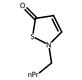 CCCCn1ccc(=O)s1